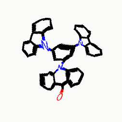 O=c1c2ccccc2n(-c2cc(-n3c4ccccc4c4ccccc43)cc(-n3c4ccccc4c4ccccc43)c2)c2ccccc12